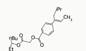 C/C=C(\CC(C)C)c1ccc(C(=O)OCC(=O)OC(CC)CCCC)cc1